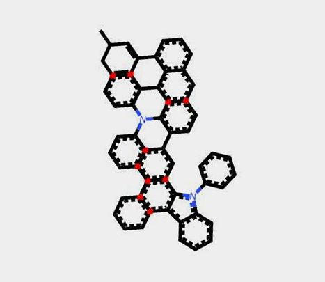 CC1C=C(c2cccc3cccc(-c4ccccc4N(c4cccc(-c5ccc6c7ccccc7n(-c7ccccc7)c6c5)c4)c4ccccc4-c4ccc(-c5ccccc5)cc4)c23)C=CC1